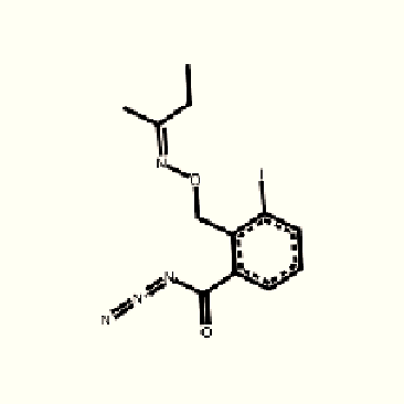 CCC(C)=NOCc1c(I)cccc1C(=O)N=[N+]=[N-]